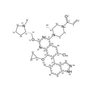 C=CC(=O)N1CCN(c2nc(OC[C@@H]3CCCN3C)nc3c(OC4CC4)c(-c4c(C)ccc5[nH]ncc45)c(Cl)cc23)[C@H](C)C1